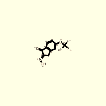 O=C1/C(=N/O)Cc2cc(OC(F)(F)F)ccc21